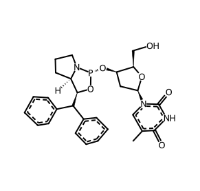 Cc1cn([C@H]2C[C@@H](O[P@]3O[C@@H](C(c4ccccc4)c4ccccc4)[C@H]4CCCN43)[C@@H](CO)O2)c(=O)[nH]c1=O